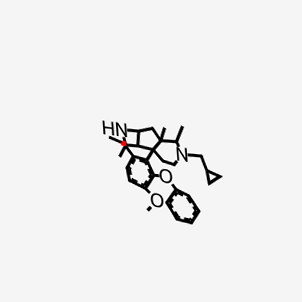 CCc1ccc(OC)c(Oc2ccccc2)c1C12CCN(CC3CC3)C(C)C1(C)CC1NC(C)C12